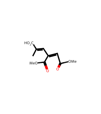 COC(=O)C=C(C=C(C)C(=O)O)C(=O)OC